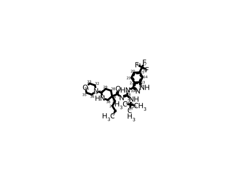 CCCCC1(C(=O)/N=C(\Nc2n[nH]c3cc(C(F)(F)F)ccc23)NC(C)(C)C)CCC(N2CCOCC2)NC1